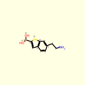 NCCc1ccc2cc(B(O)O)sc2c1